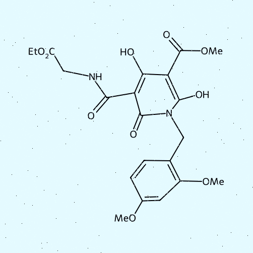 CCOC(=O)CNC(=O)c1c(O)c(C(=O)OC)c(O)n(Cc2ccc(OC)cc2OC)c1=O